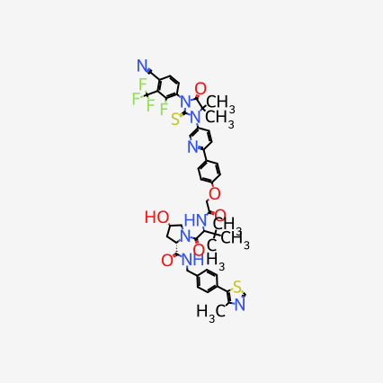 Cc1ncsc1-c1ccc(CNC(=O)[C@@H]2C[C@@H](O)CN2C(=O)[C@@H](NC(=O)COc2ccc(-c3ccc(N4C(=S)N(c5ccc(C#N)c(C(F)(F)F)c5F)C(=O)C4(C)C)cn3)cc2)C(C)(C)C)cc1